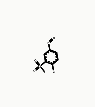 O=Nc1ccc(Cl)c(S(=O)(=O)I)c1